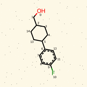 OCC1CCC(c2ccc(F)cc2)CC1